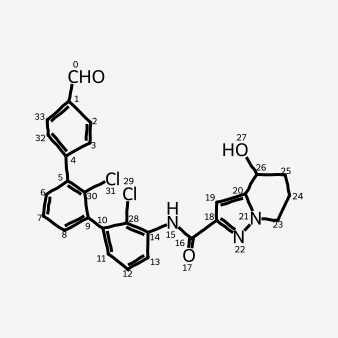 O=Cc1ccc(-c2cccc(-c3cccc(NC(=O)c4cc5n(n4)CCCC5O)c3Cl)c2Cl)cc1